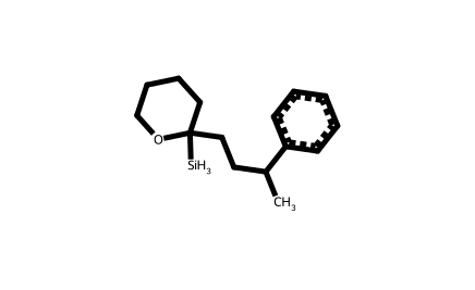 CC(CCC1([SiH3])CCCCO1)c1ccccc1